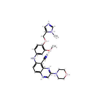 COc1cc(Nc2ccc3ncc(N4CCOCC4)nc3c2C#N)ccc1OCc1cncn1C